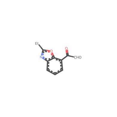 CCc1nc2cccc(C(=O)C=O)c2o1